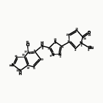 CC(C)(C)n1cc(-c2nnc(Nc3ccc4[nH]ncc4c3Cl)s2)ccc1=O